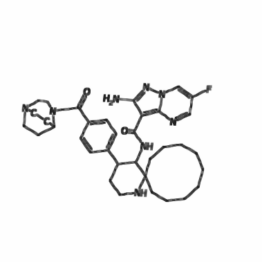 Nc1nn2cc(F)cnc2c1C(=O)NC1C(c2ccc(C(=O)N3CCN4CCC3CC4)cc2)CCNC12CCCCCCCCC2